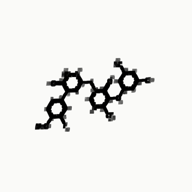 COc1ccc(-c2cc(Cn3cnc(C(F)(F)F)c(Oc4cc(Cl)cc(C#N)c4)c3=O)n[nH]c2=O)cc1F